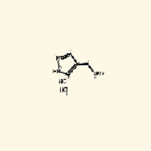 CNCc1cn[nH]c1.Cl.Cl